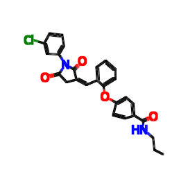 CCCNC(=O)c1ccc(Oc2ccccc2/C=C2/CC(=O)N(c3cccc(Cl)c3)C2=O)cc1